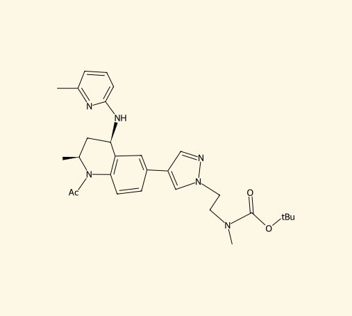 CC(=O)N1c2ccc(-c3cnn(CCN(C)C(=O)OC(C)(C)C)c3)cc2[C@H](Nc2cccc(C)n2)C[C@@H]1C